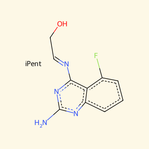 CCC[C@H](C)/C(CO)=N\c1nc(N)nc2cccc(F)c12